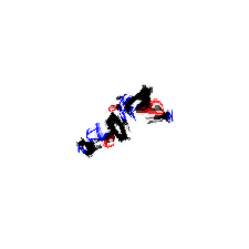 Cn1c(=O)n(C[C@H]2CC[C@H](C(=O)Nc3ccncc3)CC2)c2nc(OCC#N)ccc21